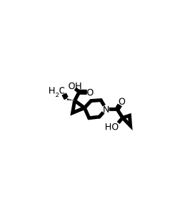 C=C[C@@]1(C(=O)O)CC12CCN(C(=O)C1(O)CC1)CC2